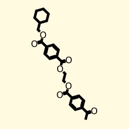 CC(=O)c1ccc(C(=O)OCCOC(=O)c2ccc(C(=O)OCC3CCCCC3)cc2)cc1